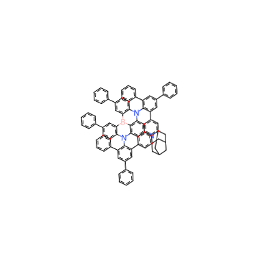 c1ccc(-c2ccc3c(c2)B2c4cc(-c5ccccc5)ccc4N(c4c(-c5ccccc5)cc(-c5ccccc5)cc4-c4ccccc4)c4cc(N5C6CC7CC(C6)CC5C7)cc(c42)N3c2c(-c3ccccc3)cc(-c3ccccc3)cc2-c2ccccc2)cc1